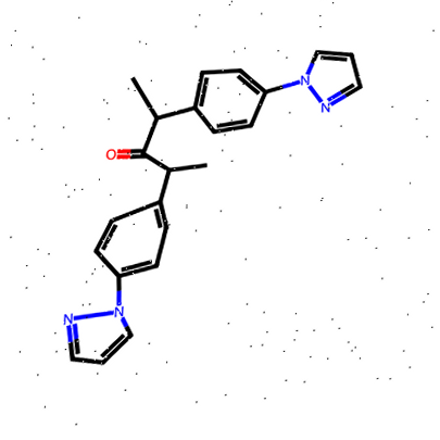 CC(C(=O)C(C)c1ccc(-n2cccn2)cc1)c1ccc(-n2cccn2)cc1